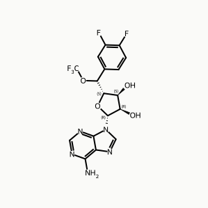 Nc1ncnc2c1ncn2[C@@H]1O[C@H](C(OC(F)(F)F)c2ccc(F)c(F)c2)[C@@H](O)[C@H]1O